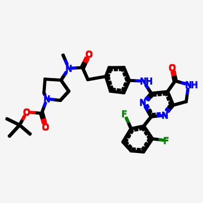 CN(C(=O)Cc1ccc(Nc2nc(-c3c(F)cccc3F)nc3c2C(=O)NC3)cc1)C1CCN(C(=O)OC(C)(C)C)CC1